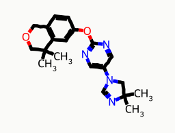 CC1(C)CN(c2cnc(Oc3ccc4c(c3)C(C)(C)COC4)nc2)C=N1